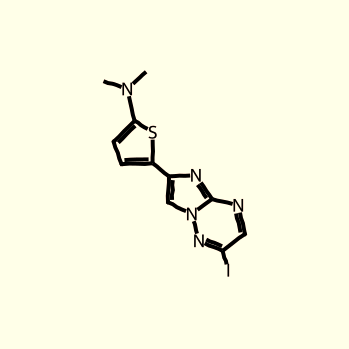 CN(C)c1ccc(-c2cn3nc(I)cnc3n2)s1